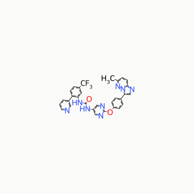 Cc1ccc2ncc(-c3ccc(Oc4ncc(NC(=O)Nc5cc(C(F)(F)F)ccc5-c5cccnc5)cn4)cc3)n2n1